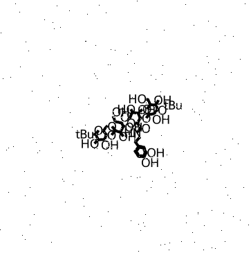 CC1OC(C(C)(C)C)C(O)C(O)C1OC1OC(CO)C(OC2OC(C(=O)NCCc3ccc(O)c(O)c3)C(OC3OC(CO)C(O)C(OC(C)(C)C)C3O)C(O)C2O)C(O)C1O